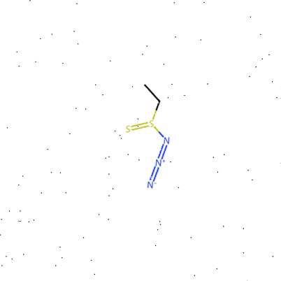 CCS(=S)N=[N+]=[N-]